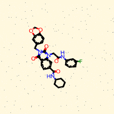 O=C(Cn1c(=O)n(Cc2ccc3c(c2)OCO3)c(=O)c2ccc(C(=O)NC3CCCCC3)cc21)Nc1cccc(F)c1